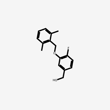 Cc1cccc(C)c1COc1cc(CO)ccc1F